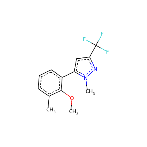 COc1c(C)cccc1-c1cc(C(F)(F)F)nn1C